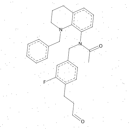 CC(=O)N(Cc1ccc(CCC=O)c(F)c1)c1cccc2c1N(Cc1ccccc1)CCC2